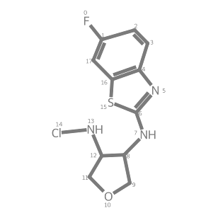 Fc1ccc2nc(NC3COCC3NCl)sc2c1